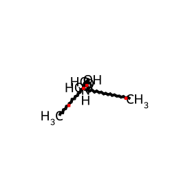 CCCCCCCCCCCCC/C=C/[C@@H](O)[C@H](COP(=O)(O)O)NC(=O)CCCCCCCCCCCCCCCCCCC